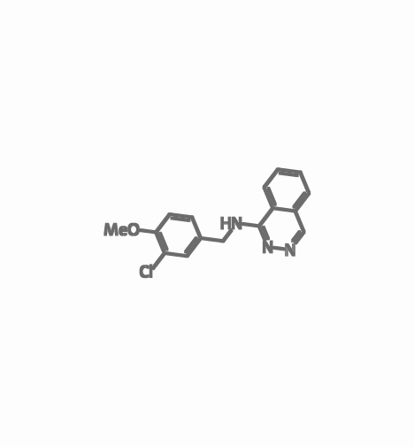 COc1ccc(CNc2nncc3ccccc23)cc1Cl